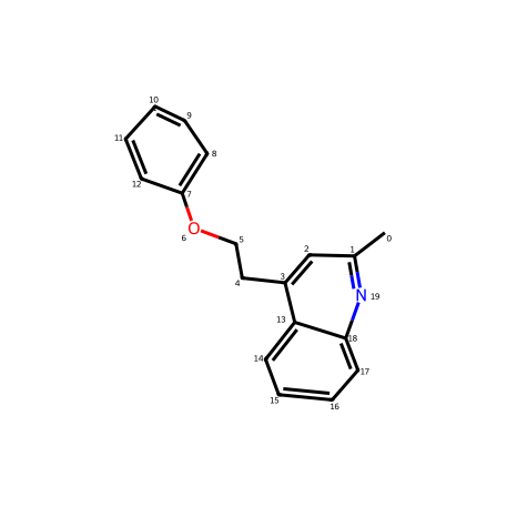 Cc1cc(CCOc2cc[c]cc2)c2ccccc2n1